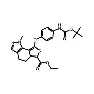 CCOC(=O)c1sc(Oc2ccc(NC(=O)OC(C)(C)C)cc2)c2c1CCc1cnn(C)c1-2